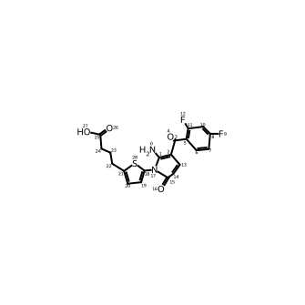 Nc1c(C(=O)c2ccc(F)cc2F)ccc(=O)n1-c1ccc(CCCC(=O)O)s1